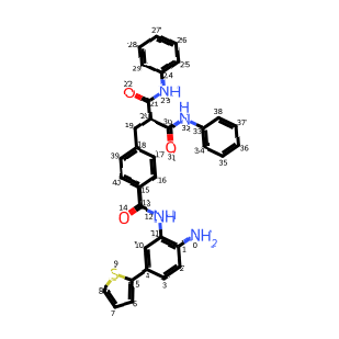 Nc1ccc(-c2cccs2)cc1NC(=O)c1ccc(CC(C(=O)Nc2ccccc2)C(=O)Nc2ccccc2)cc1